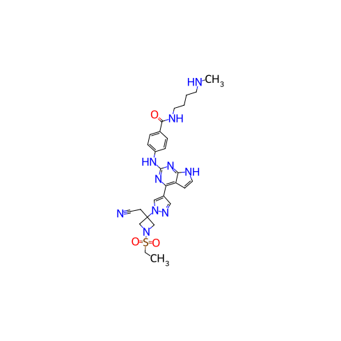 CCS(=O)(=O)N1CC(CC#N)(n2cc(-c3nc(Nc4ccc(C(=O)NCCCCNC)cc4)nc4[nH]ccc34)cn2)C1